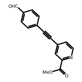 COC(=O)c1cc(C#Cc2ccc(C=O)cc2)ccn1